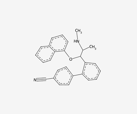 CNC(C)C(Oc1cccc2ccccc12)c1ccccc1-c1ccc(C#N)cc1